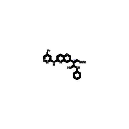 CN/C=C(\C(=N)Nc1ccccc1)c1cnc2ccc(Nc3cc(C(C)C)cnn3)nc2c1